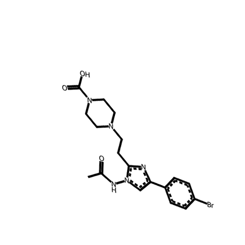 CC(=O)Nn1cc(-c2ccc(Br)cc2)nc1CCN1CCN(C(=O)O)CC1